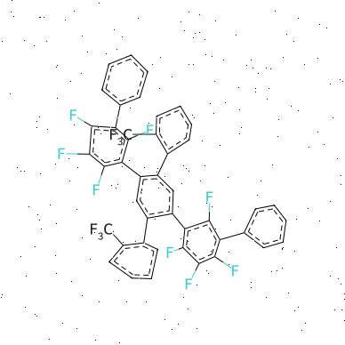 Fc1c(F)c(-c2ccccc2)c(F)c(-c2cc(-c3ccccc3C(F)(F)F)c(-c3c(F)c(F)c(F)c(-c4ccccc4)c3F)cc2-c2ccccc2C(F)(F)F)c1F